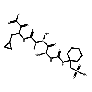 CCCN(C(=O)[C@@H](NC(=O)NC1(CS(=O)(=O)C(C)(C)C)CCCCC1)C(C)(C)C)[C@@H](C)C(=O)NC(CC1CC1)C(=O)C(N)=O